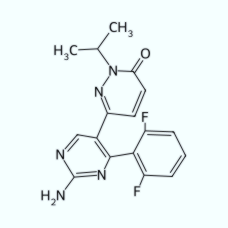 CC(C)n1nc(-c2cnc(N)nc2-c2c(F)cccc2F)ccc1=O